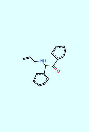 C=CCNC(C(=O)c1ccccc1)c1ccccc1